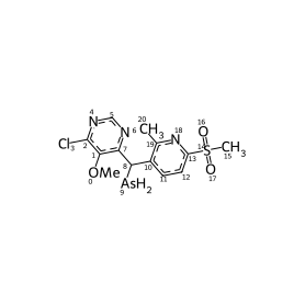 COc1c(Cl)ncnc1C([AsH2])c1ccc(S(C)(=O)=O)nc1C